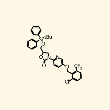 CC(C)(C)[Si](OCC1CN(c2ccc(OCc3c(Cl)cccc3C(F)(F)F)cn2)C(=O)O1)(c1ccccc1)c1ccccc1